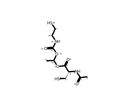 CC(=O)N[C@H](CS)C(=O)OC(C)OC(=O)NCCS